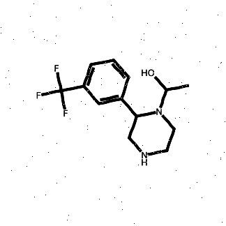 CC(O)N1CCNCC1c1cccc(C(F)(F)F)c1